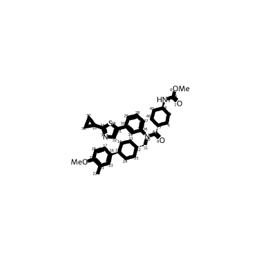 COC(=O)N[C@H]1CC[C@H](C(=O)N(C[C@H]2CC[C@H](c3ccc(OC)c(C)c3)CC2)c2cccc(-c3cnc(C4CC4)s3)c2)CC1